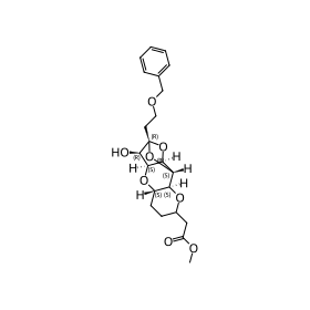 COC(=O)CC1CC[C@@H]2O[C@@H]3[C@H]4O[C@](CCOCc5ccccc5)(O[C@H]4[C@H]2O1)[C@@H]3O